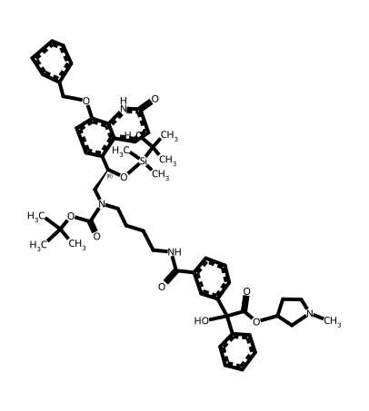 CN1CCC(OC(=O)C(O)(c2ccccc2)c2cccc(C(=O)NCCCCN(C[C@H](O[Si](C)(C)C(C)(C)C)c3ccc(OCc4ccccc4)c4[nH]c(=O)ccc34)C(=O)OC(C)(C)C)c2)C1